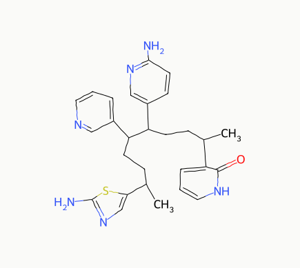 CC(CCC(c1cccnc1)C(CCC(C)c1ccc[nH]c1=O)c1ccc(N)nc1)c1cnc(N)s1